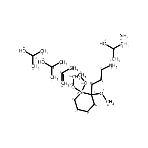 C=C[SiH3].CC(C)O.CC(C)O.CC(C)O.COC1(CCCN)CCCC[Si]1(OC)OC.[SiH4]